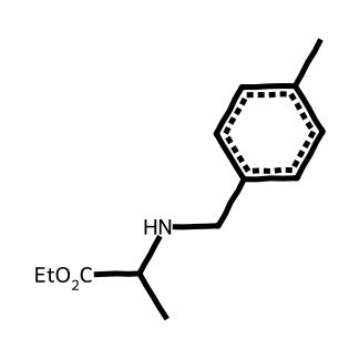 CCOC(=O)C(C)NCc1ccc(C)cc1